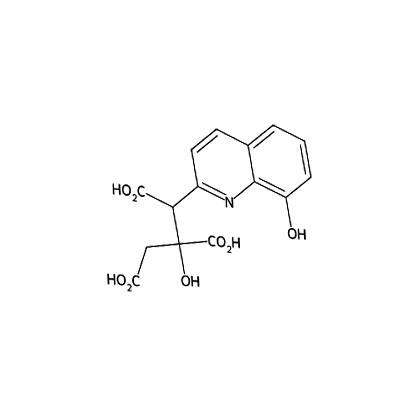 O=C(O)CC(O)(C(=O)O)C(C(=O)O)c1ccc2cccc(O)c2n1